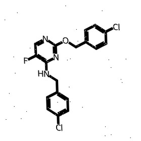 Fc1cnc(OCc2ccc(Cl)cc2)nc1NCc1ccc(Cl)cc1